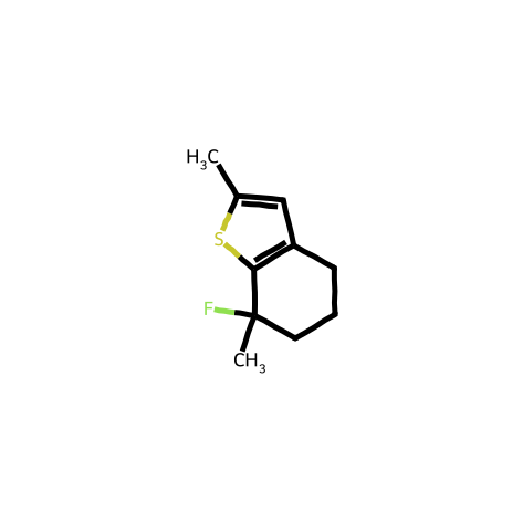 Cc1cc2c(s1)C(C)(F)CCC2